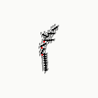 FC(F)(F)C(F)(F)C(F)(F)OC(F)(C(F)(F)F)C(F)(F)OC(F)(C(F)(F)F)C(F)(F)OC(F)(C(F)(F)F)C(F)(OC(F)(F)C(F)(OC(F)(F)C(F)(OC(F)(F)C(F)(F)C(F)(F)C(F)(F)C(F)(F)C(F)(F)C(F)(F)C(F)(F)F)C(F)(F)F)C(F)(F)F)C(F)(F)F